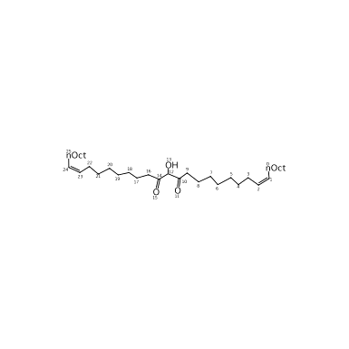 CCCCCCCC/C=C\CCCCCCCC(=O)C(O)C(=O)CCCCCCC/C=C\CCCCCCCC